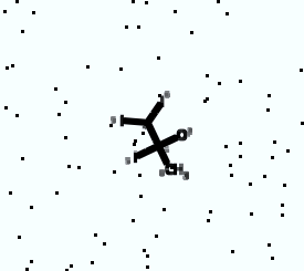 CC([O])(I)C(I)I